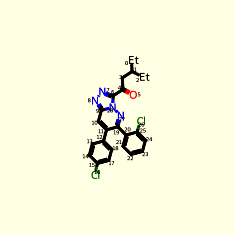 CCC(CC)CC(=O)c1nnc2cc(-c3ccc(Cl)cc3)c(-c3ccccc3Cl)nn12